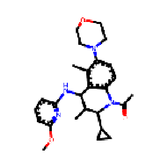 COc1cccc(NC2c3c(ccc(N4CCOCC4)c3C)N(C(C)=O)C(C3CC3)C2C)n1